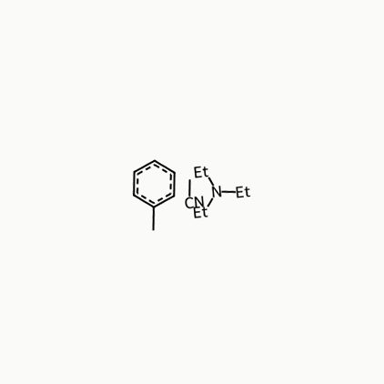 CC#N.CCN(CC)CC.Cc1ccccc1